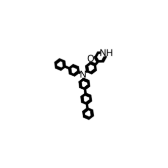 C1=Cc2c(oc3cc(N(c4ccc(-c5ccccc5)cc4)c4ccc(-c5ccc(-c6ccccc6)cc5)cc4)ccc23)CN1